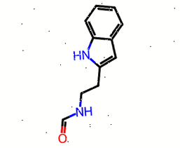 O=CNCCc1cc2ccccc2[nH]1